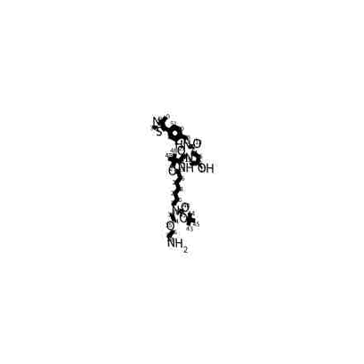 Cc1ncsc1-c1ccc(CNC(=O)[C@@H]2C[C@@H](O)CN2C(=O)[C@@H](NC(=O)CCCCCCN(CCOCCN)C(=O)OC(C)(C)C)C(C)(C)C)cc1